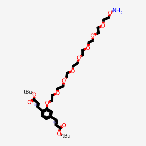 CC(C)(C)OC(=O)/C=C/c1ccc(/C=C/C(=O)OC(C)(C)C)c(OCCOCCOCCOCCOCCOCCOCCOCCON)c1